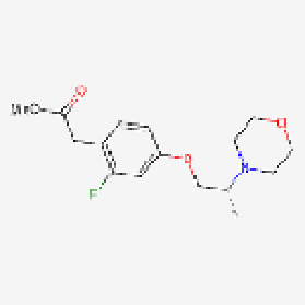 COC(=O)Cc1ccc(OC[C@@H](C)N2CCOCC2)cc1F